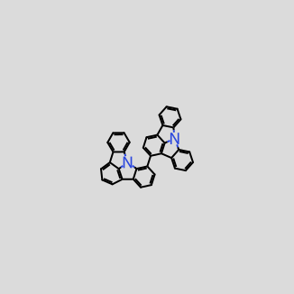 c1ccc2c(c1)c1ccc(-c3cccc4c5cccc6c7ccccc7n(c34)c65)c3c4ccccc4n2c13